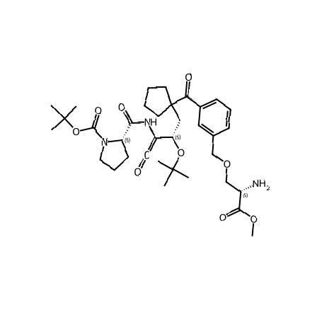 COC(=O)[C@@H](N)COCc1cccc(C(=O)C2(C[C@H](OC(C)(C)C)C(=C=O)NC(=O)[C@@H]3CCCN3C(=O)OC(C)(C)C)CCCC2)c1